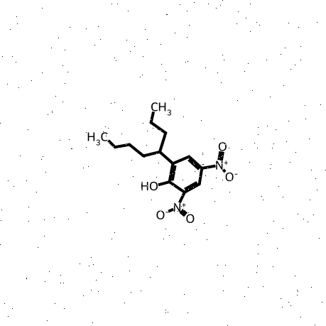 CCCCC(CCC)c1cc([N+](=O)[O-])cc([N+](=O)[O-])c1O